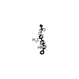 Cc1cc(OCOC(=O)C2CCC2)ncc1-c1cnc(-c2ncc(-c3ccccc3)[nH]2)nc1